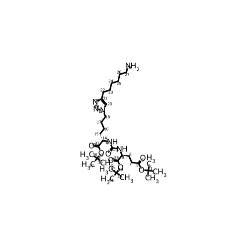 CC(C)(C)OC(=O)CC[C@H](NC(=O)N[C@@H](CCCCn1cc(CCCCCCN)nn1)C(=O)OC(C)(C)C)C(=O)OC(C)(C)C